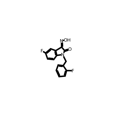 O=C1/C(=N\O)c2cc(F)ccc2N1Cc1ccccc1F